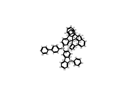 c1ccc(-c2ccc(N(c3ccc4c(c3)C3(c5ccccc5-4)c4ccccc4-c4cccc5ccc(-c6ccccc6)c3c45)c3ccc4c(c3)c3ccccc3n4-c3ccccc3)cc2)cc1